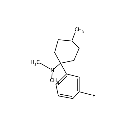 CC1CCC(c2cccc(F)c2)(N(C)C)CC1